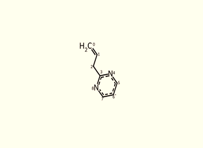 C=CCc1nc[c]cn1